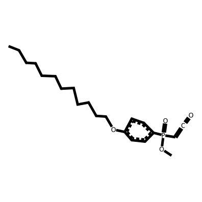 CCCCCCCCCCCCOc1ccc(P(=O)(C=C=O)OC)cc1